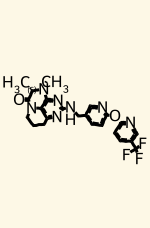 C[C@H]1C(=O)N2CCCc3nc(NCc4ccc(Oc5ccc(C(F)(F)F)cn5)nc4)nc(c32)N1C